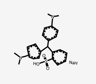 CN(C)c1ccc(C(c2ccc(N(C)C)cc2)c2ccccc2S(=O)(=O)O)cc1.[NaH]